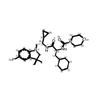 CC1(C)CN(C[C@@H](NC(=O)[C@H](CC2CCCCC2)NC(=O)N2CCOCC2)C2CC2)c2ccc(F)cc21